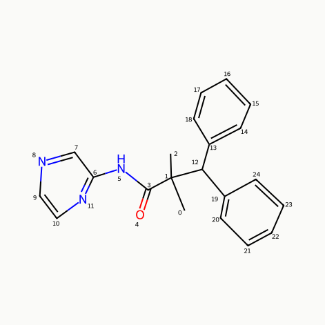 CC(C)(C(=O)Nc1cnccn1)C(c1ccccc1)c1ccccc1